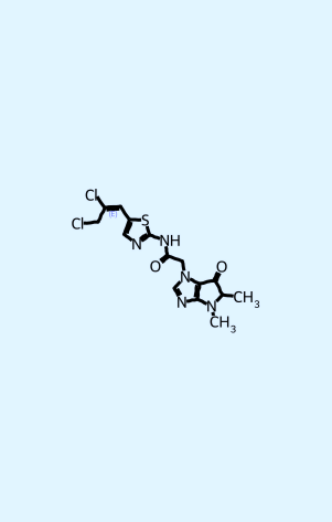 CC1C(=O)c2c(ncn2CC(=O)Nc2ncc(/C=C(/Cl)CCl)s2)N1C